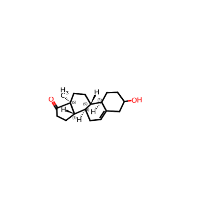 C[C@]12CC[C@H]3[C@@H](CC=C4CC(O)CC[C@@H]43)[C@@H]1CCC2=O